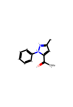 COC(=O)c1cc(C)nn1-c1ccccc1